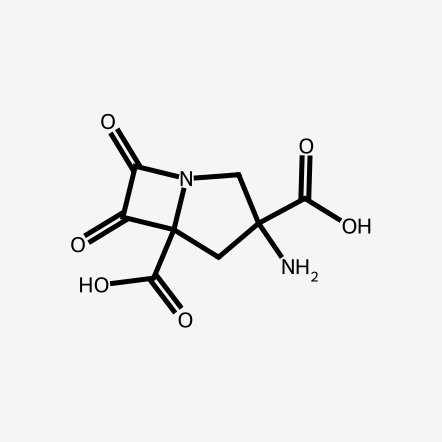 NC1(C(=O)O)CN2C(=O)C(=O)C2(C(=O)O)C1